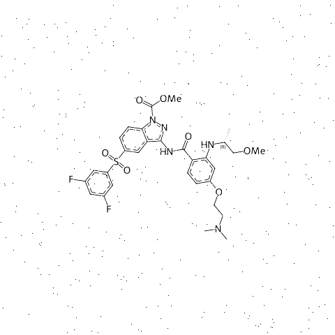 COC[C@@H](C)Nc1cc(OCCN(C)C)ccc1C(=O)Nc1nn(C(=O)OC)c2ccc(S(=O)(=O)c3cc(F)cc(F)c3)cc12